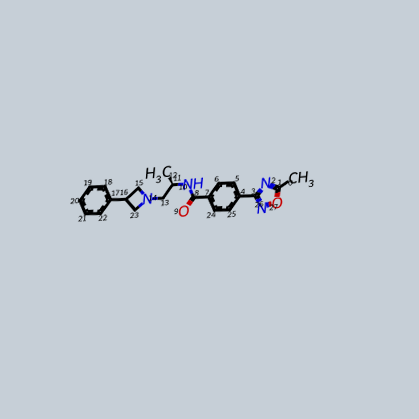 Cc1nc(-c2ccc(C(=O)N[C@H](C)CN3CC(c4ccccc4)C3)cc2)no1